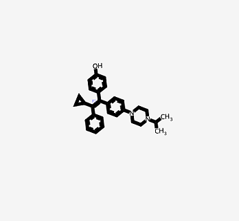 CC(C)N1CCN(c2ccc(/C(=C(\c3ccccc3)C3CC3)c3ccc(O)cc3)cc2)CC1